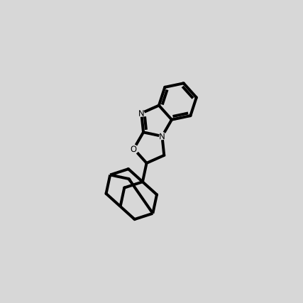 c1ccc2c(c1)nc1n2CC(C23CC4CC(CC(C4)C2)C3)O1